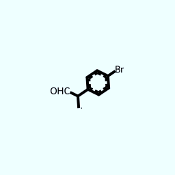 [CH2]C(C=O)c1ccc(Br)cc1